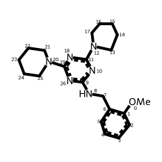 COc1ccccc1CNc1nc(N2CCCCC2)nc(N2CCCCC2)n1